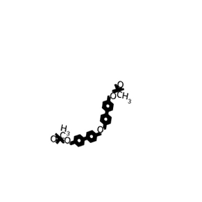 CC1(COCc2ccc(-c3ccc(COCc4ccc(-c5ccc(COCC6(C)COC6)cc5)cc4)cc3)cc2)COC1